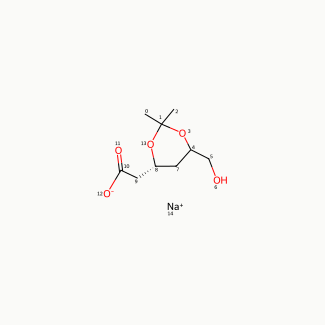 CC1(C)OC(CO)C[C@H](CC(=O)[O-])O1.[Na+]